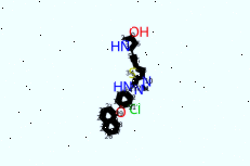 O[C@@H]1CN[C@H](C#Cc2cc3ncnc(Nc4ccc(Oc5cccc6ccccc56)c(Cl)c4)c3s2)C1